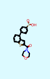 O=C(c1cc2c(-c3ccc(S(=O)O)cc3)cccc2s1)N1CCOCC1